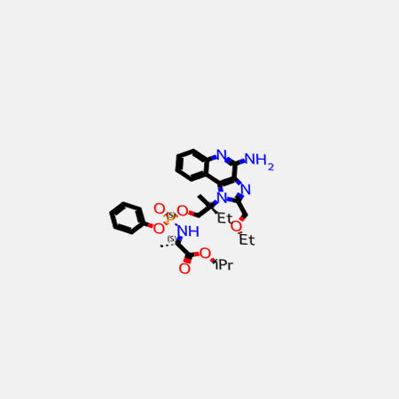 CCOCc1nc2c(N)nc3ccccc3c2n1[C@](C)(CC)CO[P@@](=O)(N[C@@H](C)C(=O)OC(C)C)Oc1ccccc1